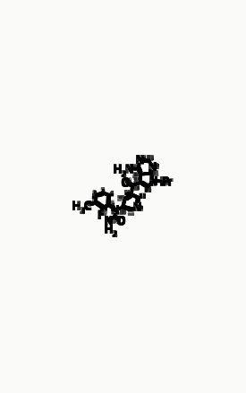 Cc1cccc(N(C(N)=O)c2cncc(C(=O)c3cn(C(C)C)c4ncnc(N)c34)c2)c1F